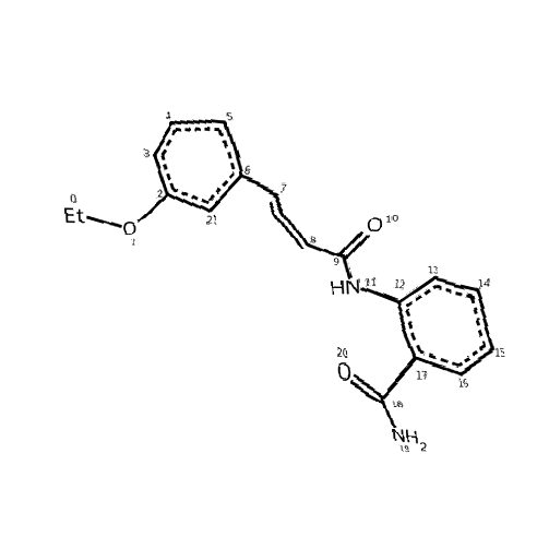 CCOc1cccc(C=CC(=O)Nc2ccccc2C(N)=O)c1